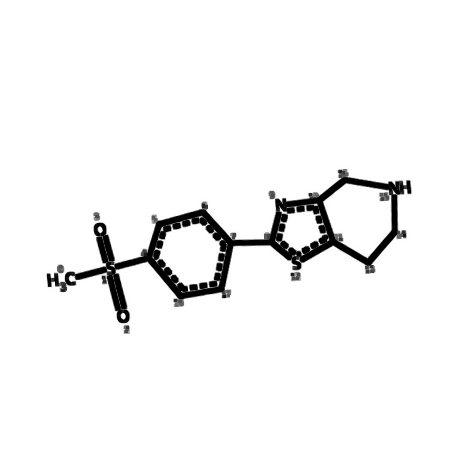 CS(=O)(=O)c1ccc(-c2nc3c(s2)CCNC3)cc1